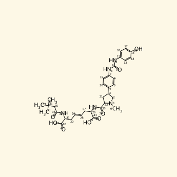 CN1CC(c2ccc(NC(=O)Nc3ccc(O)cc3)cc2)CC1C(=O)NC(CC=CCC(NC(=O)CC(C)(C)C)C(=O)O)C(=O)O